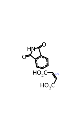 O=C(O)/C=C\C(=O)O.O=C1NC(=O)c2ccccc21